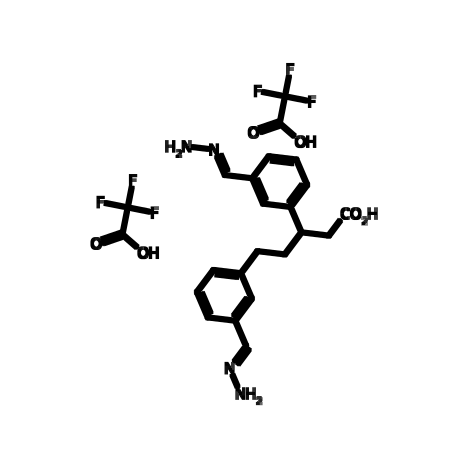 NN=Cc1cccc(CCC(CC(=O)O)c2cccc(C=NN)c2)c1.O=C(O)C(F)(F)F.O=C(O)C(F)(F)F